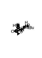 CC(C)(C)OC(=O)NC1CN(C2=NC(=O)C(=C(Cc3ccc(Cl)cc3C3CC3)c3ccc4[nH]ncc4c3)S2)C1